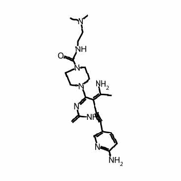 C=C(N)/N=C(\C(C#Cc1ccc(N)nc1)=C(\C)N)N1CCN(C(=O)NCCN(C)C)CC1